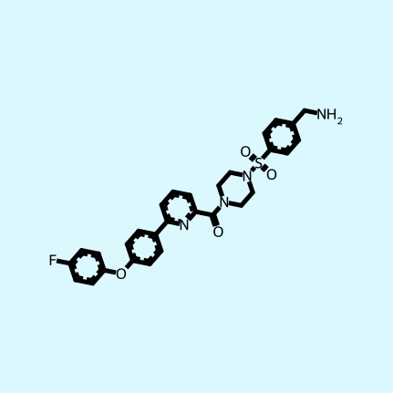 NCc1ccc(S(=O)(=O)N2CCN(C(=O)c3cccc(-c4ccc(Oc5ccc(F)cc5)cc4)n3)CC2)cc1